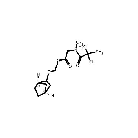 CCC(C)(C)C(=O)N(C)CC(=O)OCOC1C[C@H]2CC[C@@H]1C2